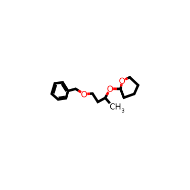 CC(CCOCc1ccccc1)OC1CCCCO1